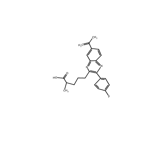 C=C(C)c1ccc2nc(-c3ccc(F)cc3)c(CCCC(C)C(=O)O)nc2c1